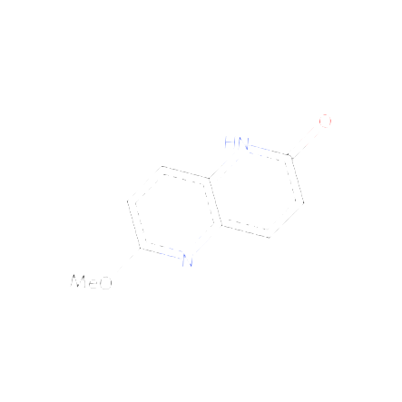 COc1ccc2[nH]c(=O)ccc2n1